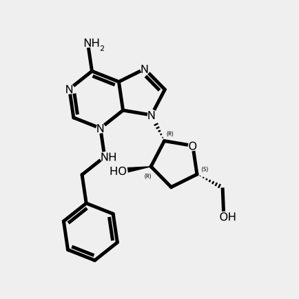 NC1=C2N=CN([C@@H]3O[C@H](CO)C[C@H]3O)C2N(NCc2ccccc2)C=N1